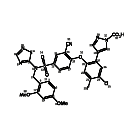 COc1ccc(CN(c2ncns2)S(=O)(=O)c2ccc(Oc3cc(F)c(Cl)cc3-c3cnn(C(=O)O)c3)c(C#N)c2)c(OC)c1